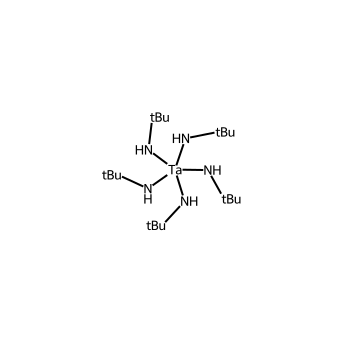 CC(C)(C)[NH][Ta]([NH]C(C)(C)C)([NH]C(C)(C)C)([NH]C(C)(C)C)[NH]C(C)(C)C